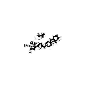 CC(C)(C)N1C(=O)C=C(c2ccc(CN3CCC(O)(Cc4ccccc4)CC3)s2)S1(=O)=O.O=C(O)C(F)(F)F